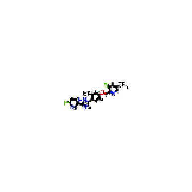 CCc1cc(OCc2ncc(C(F)(F)F)cc2F)ccc1-c1cnc(-c2ccc(F)nc2)[nH]1